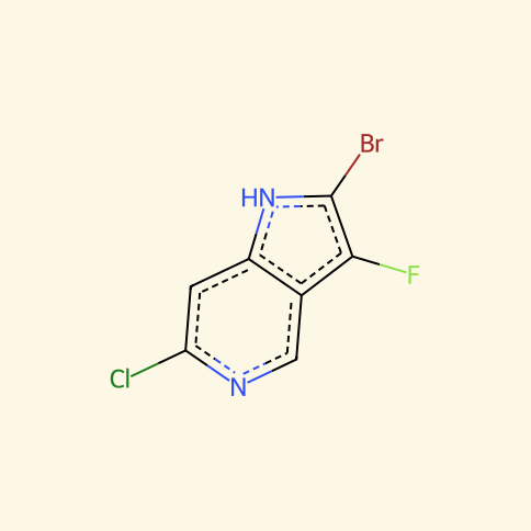 Fc1c(Br)[nH]c2cc(Cl)ncc12